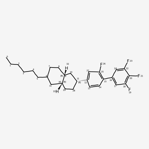 CCCCCCC1CC[C@@H]2C[C@H](c3ccc(-c4cc(F)c(F)c(F)c4)c(F)c3)CC[C@@H]2C1